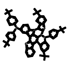 CC(C)(C)c1ccc(N2B3c4sc5ccc(C(C)(C)C)cc5c4-n4c5ccc(N(c6ccc(C(C)(C)C)cc6)c6ccc(C(C)(C)C)cc6)cc5c5c6oc7ccccc7c6c(c3c54)-c3cc(C(C)(C)C)ccc32)cc1